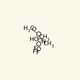 COCc1cccc([C@@](O)(c2ccc(OC(F)(F)F)cc2)C2(C)CN(C)C2)c1